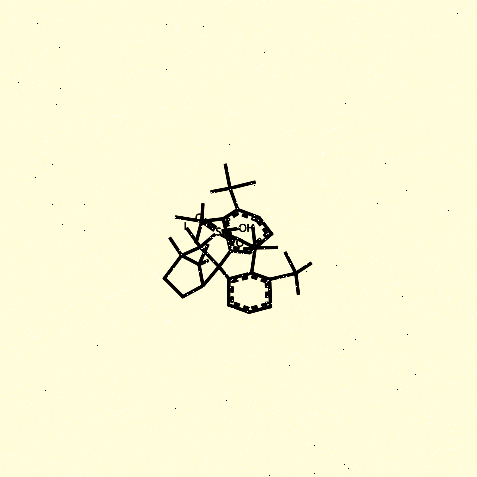 CC(C)(C)c1cccc(C2(c3cccc(C(C)(C)C)c3C(C)(C)C)C3CCC(C)(C3(C)C)C2(I)S(=O)(=O)O)c1C(C)(C)C